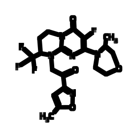 Cc1cc(C(=O)CN2c3nc(N4CCOCC4C)c(F)c(=O)n3CCC2C(F)(F)F)no1